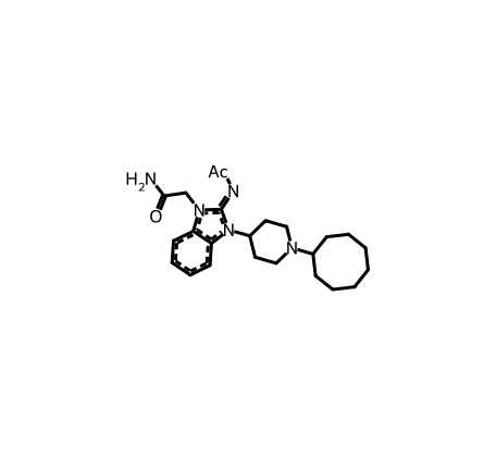 CC(=O)/N=c1\n(CC(N)=O)c2ccccc2n1C1CCN(C2CCCCCCC2)CC1